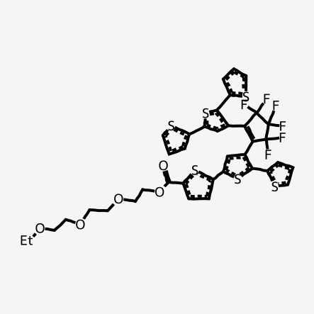 CCOCCOCCOCCOC(=O)c1ccc(-c2cc(C3=C(c4cc(-c5cccs5)sc4-c4cccs4)C(F)(F)C(F)(F)C3(F)F)c(-c3cccs3)s2)s1